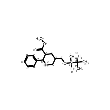 COC(=O)C1CC(CO[Si](C)(C)C(C)(C)C)CNC1c1ccccc1